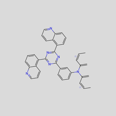 C=C(/C=C\C)N(C(=C)/C=C\C)c1cccc(-c2nc(-c3cccc4ncccc34)nc(-c3cccc4ncccc34)n2)c1